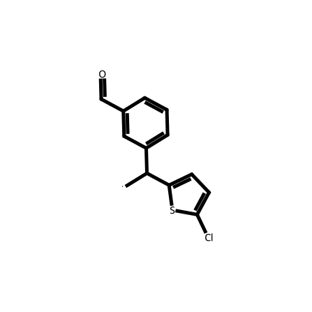 [CH2]C(c1cccc(C=O)c1)c1ccc(Cl)s1